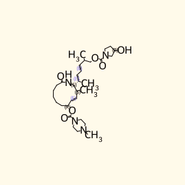 C/C(=C\C=C\C(C)COC(=O)N1CC[C@@H](O)C1)[C@H]1NC(=O)CCCCC[C@@H](OC(=O)N2CCN(C)CC2)/C=C/[C@@H]1C